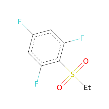 CCS(=O)(=O)c1c(F)cc(F)cc1F